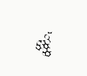 C=CC(=O)N1CC2COc3c(F)c(-c4c(C)ccc5[nH]ncc45)c(F)c4c3c(nc(=O)n4-c3c(C)ccnc3C(C)C)N2CC1C